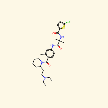 CCN(CC)CCC1CCCCN1C(=O)c1ccc(NC(=O)C(C)(C)NC(=O)c2ccc(Cl)s2)cc1C